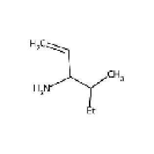 C=CC(N)C(C)CC